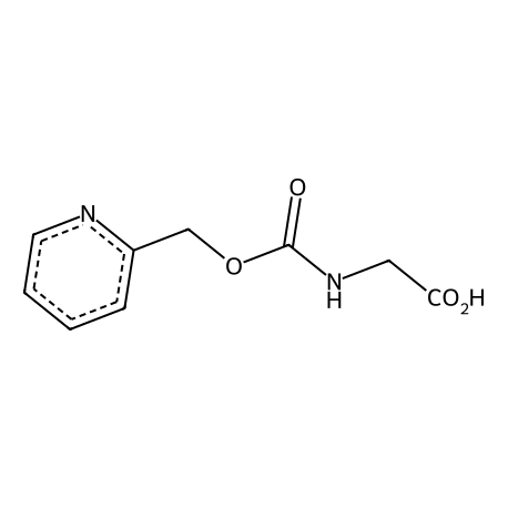 O=C(O)CNC(=O)OCc1ccccn1